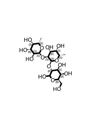 C[C@@H]1O[C@@H](O[C@@H]2[C@H](O[C@H]3C(O)O[C@H](CO)[C@H](O)[C@@H]3O)O[C@@H](C)[C@@H](O)[C@H]2O)[C@@H](O)[C@H](O)[C@@H]1O